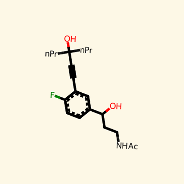 CCCC(O)(C#Cc1cc(C(O)CCNC(C)=O)ccc1F)CCC